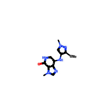 COc1nn(C)cc1Nc1c[nH]c(=O)c2c1ncn2C